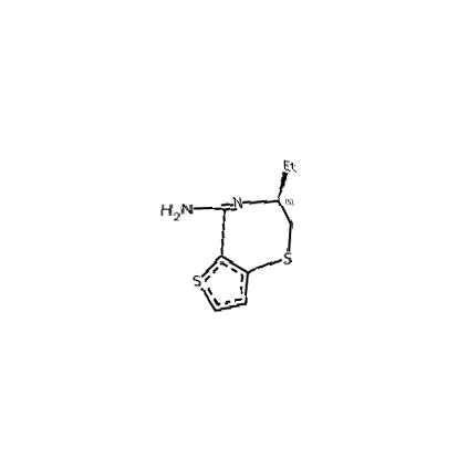 CC[C@H]1CSc2ccsc2C(N)=N1